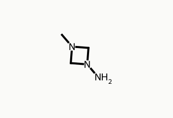 CN1CN(N)C1